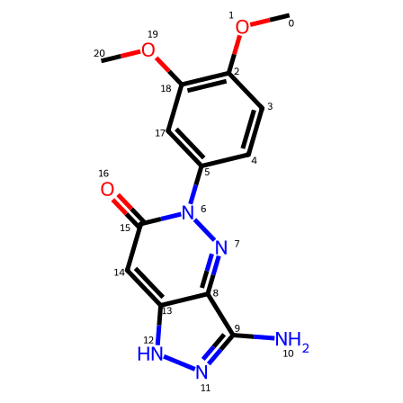 COc1ccc(-n2nc3c(N)n[nH]c3cc2=O)cc1OC